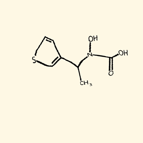 CC(c1ccsc1)N(O)C(=O)O